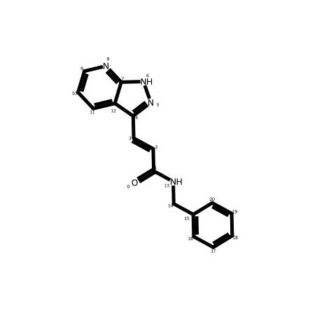 O=C(C=Cc1n[nH]c2ncccc12)NCc1ccccc1